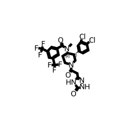 CN(C(=O)c1cc(C(F)(F)F)cc(C(F)(F)F)c1)[C@@H]1CCN(C(=O)Cc2n[nH]c(=O)[nH]2)C[C@H]1c1ccc(Cl)c(Cl)c1